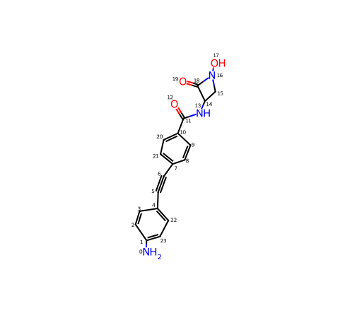 Nc1ccc(C#Cc2ccc(C(=O)NC3CN(O)C3=O)cc2)cc1